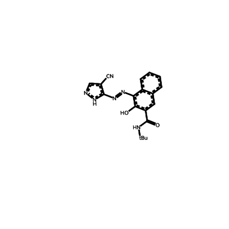 CC(C)(C)NC(=O)c1cc2ccccc2c(/N=N/c2[nH]ncc2C#N)c1O